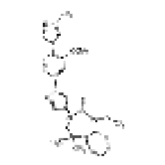 COc1cc(-c2cn([C@@H]3CC(C)(C)C4C=CC=CC4N(CC(F)(F)F)C3=O)nn2)ccc1-n1cnc(C)c1